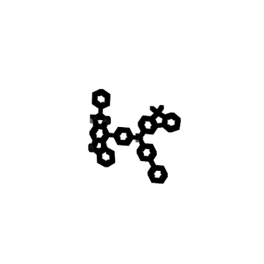 CC1(C)c2ccccc2-c2cc(N(c3ccc(-c4ccccc4)cc3)c3ccc(-c4c5oc(-c6ccccc6)nc5cc5oc6ccccc6c45)cc3)ccc21